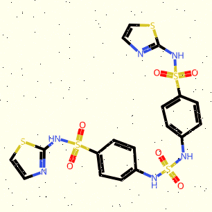 O=S(=O)(Nc1ccc(S(=O)(=O)Nc2nccs2)cc1)Nc1ccc(S(=O)(=O)Nc2nccs2)cc1